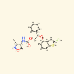 Cc1nocc1NC(=O)OCC(Oc1cccc2sc(F)cc12)c1ccccc1